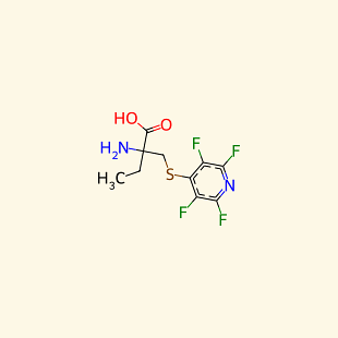 CCC(N)(CSc1c(F)c(F)nc(F)c1F)C(=O)O